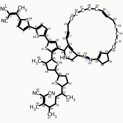 CC(=C(C#N)C#N)c1ccc(-c2ccc(-c3cc(C4NCC5C=C4/C=C/COCCCC/C=C/CCCCOC4C=C(CC4)/N=N/5)c(C4SC(C5CCC(C(C)CCC(C)C(C)=C(C#N)C#N)S5)CC4C)s3)s2)s1